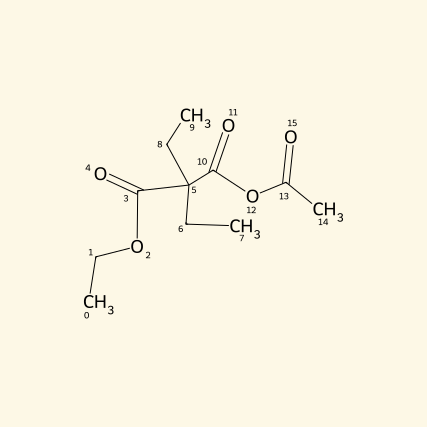 CCOC(=O)C(CC)(CC)C(=O)OC(C)=O